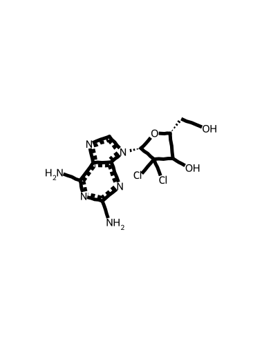 Nc1nc(N)c2ncn([C@@H]3O[C@H](CO)C(O)C3(Cl)Cl)c2n1